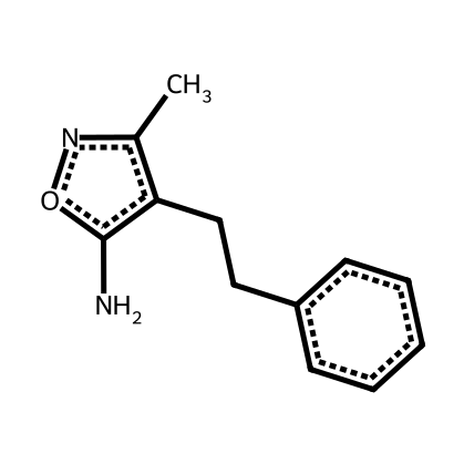 Cc1noc(N)c1CCc1ccccc1